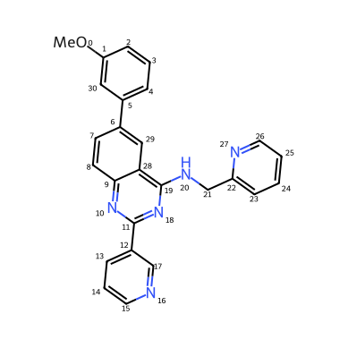 COc1cccc(-c2ccc3nc(-c4cccnc4)nc(NCc4ccccn4)c3c2)c1